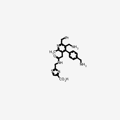 Cc1nc(CC(C)C)c(CN)c(-c2ccc(CN)cc2)c1CC(=O)NCc1nc(C(=O)O)cs1